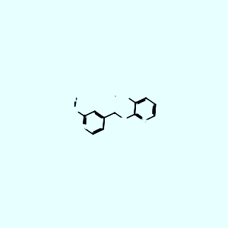 CC(C)Oc1cc(CSc2ncccc2C(=O)O)ccn1